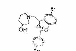 O=C(O)c1ccc(COc2ccc(Br)cc2C(O)CN2CCCC(O)C2)cc1